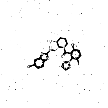 Cc1ccc(F)c(-n2nccn2)c1C(=O)N1CCC[C@@H](C)[C@H]1CNc1nc2cc(Cl)ccc2o1